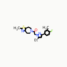 CCc1cc(-c2ccc(F)c(C)c2)nn1CC(=O)N1CCc2nc(C)sc2CC1